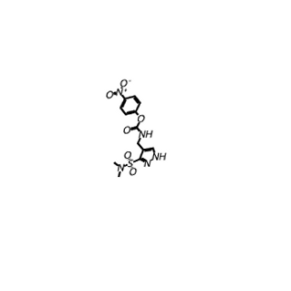 CN(C)S(=O)(=O)c1n[nH]cc1CNC(=O)Oc1ccc([N+](=O)[O-])cc1